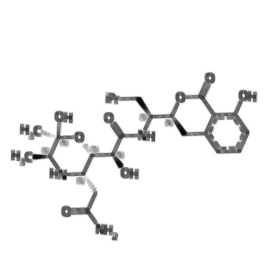 CC(C)C[C@H](NC(=O)[C@@H](O)[C@H]1O[C@](C)(O)[C@H](C)N[C@H]1CC(N)=O)[C@@H]1Cc2cccc(O)c2C(=O)O1